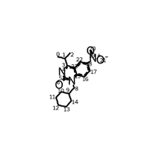 CC(C)c1nc(=O)n(CC2CCCCC2)c2ccc([N+](=O)[O-])cc12